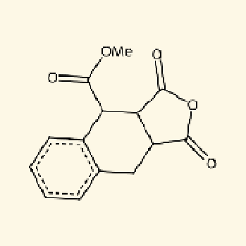 COC(=O)C1c2ccccc2CC2C(=O)OC(=O)C21